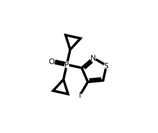 O=P(c1nscc1I)(C1CC1)C1CC1